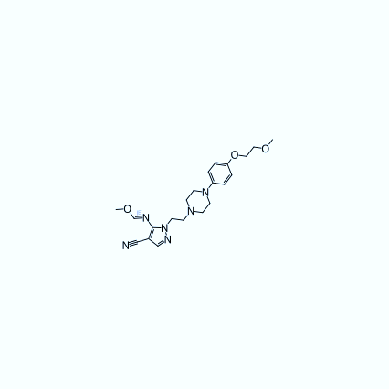 CO/C=N/c1c(C#N)cnn1CCN1CCN(c2ccc(OCCOC)cc2)CC1